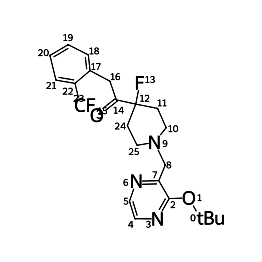 CC(C)(C)Oc1nccnc1CN1CCC(F)(C(=O)Cc2ccccc2C(F)(F)F)CC1